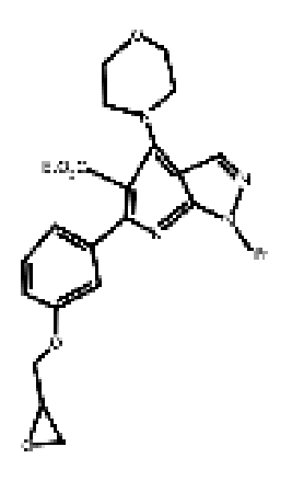 CCOC(=O)c1c(-c2cccc(OCC3CO3)c2)nc2c(cnn2C(C)C)c1N1CCOCC1